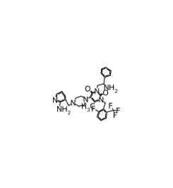 Cc1c(N2CCN(Cc3cccnc3N)CC2)c(=O)n(C[C@H](N)c2ccccc2)c(=O)n1Cc1c(F)cccc1C(F)(F)F